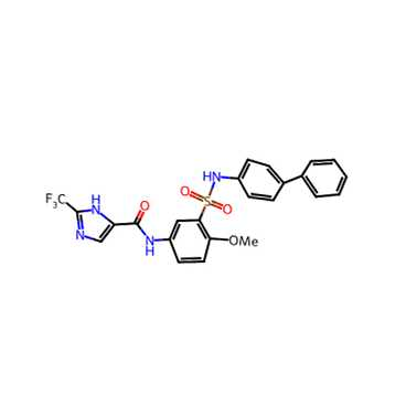 COc1ccc(NC(=O)c2cnc(C(F)(F)F)[nH]2)cc1S(=O)(=O)Nc1ccc(-c2ccccc2)cc1